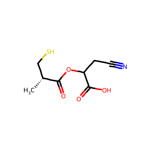 C[C@H](CS)C(=O)OC(CC#N)C(=O)O